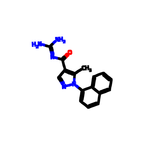 Cc1c(C(=O)N=C(N)N)cnn1-c1cccc2ccccc12